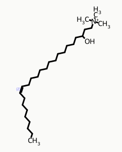 CCCCCCCC/C=C\CCCCCCCCCCCCC(O)CC[N+](C)(C)C